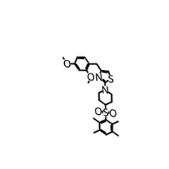 COc1ccc(Cc2csc(N3CCC(S(=O)(=O)c4c(C)c(C)cc(C)c4C)CC3)n2)c(OC)c1